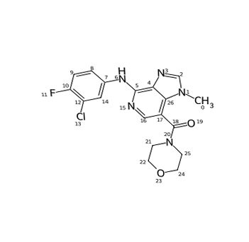 Cn1cnc2c(Nc3ccc(F)c(Cl)c3)ncc(C(=O)N3CCOCC3)c21